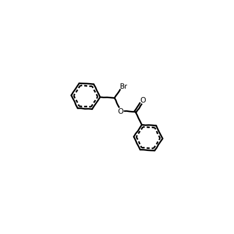 O=C(OC(Br)c1ccccc1)c1ccccc1